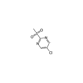 CS(=O)(=O)c1n[c]c(Cl)cn1